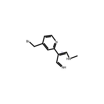 CN/C=C(\C=N)c1cc(CBr)ccn1